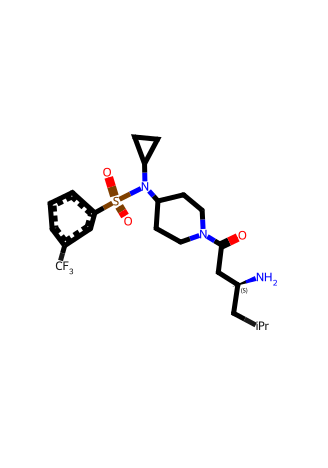 CC(C)C[C@H](N)CC(=O)N1CCC(N(C2CC2)S(=O)(=O)c2cccc(C(F)(F)F)c2)CC1